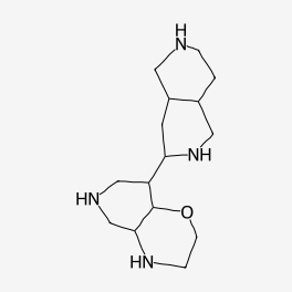 C1CC2CNC(C3CNCC4NCCOC43)CC2CN1